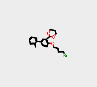 Cc1ccccc1-c1ccc(OCCCCBr)c(C2OCCCO2)c1